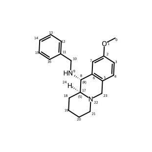 COc1ccc2c(c1)[C@@H](NCc1ccccc1)[C@@H]1CCCCN1C2